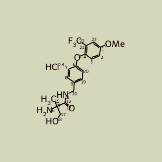 COc1ccc(Oc2ccc(CNC(=O)[C@@](C)(N)CO)cc2)c(C(F)(F)F)c1.Cl